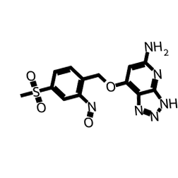 CS(=O)(=O)c1ccc(COc2cc(N)nc3[nH]nnc23)c(N=O)c1